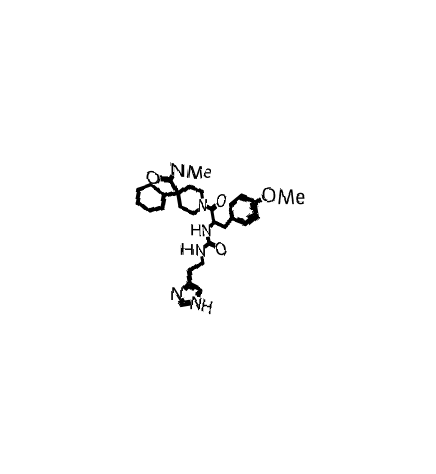 CNC(=O)C1(C2CCCCC2)CCN(C(=O)C(Cc2ccc(OC)cc2)NC(=O)NCCc2c[nH]cn2)CC1